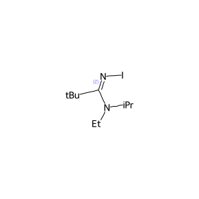 CCN(/C(=N\I)C(C)(C)C)C(C)C